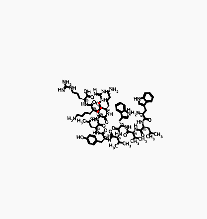 CC(C)C[C@H](NC(=O)[C@H](Cc1ccc(O)cc1)NC(=O)[C@@H](NC(=O)[C@H](Cc1c[nH]c2ccccc12)NC(=O)[C@@H](NC(=O)[C@H](CC(C)C)NC(=O)[C@@H](N)Cc1c[nH]c2ccccc12)C(C)C)C(C)C)C(=O)N[C@@H](CCCNC(=N)N)C(=O)N[C@@H](CCCCN)C(=O)N[C@@H](CCCCN)C(=O)N[C@@H](CCCNC(=N)N)C(=O)O